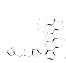 Cc1cc(CNCc2ccc(-c3ccc(O)c4c3C[C@H]3C[C@H]5[C@H](N(C)C)C(O)=C(C(N)=O)C(=O)[C@@]5(O)C(O)=C3C4=O)o2)no1